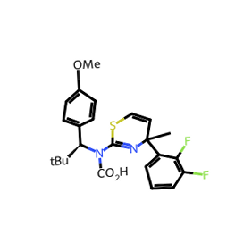 COc1ccc([C@@H](N(C(=O)O)C2=NC(C)(c3cccc(F)c3F)C=CS2)C(C)(C)C)cc1